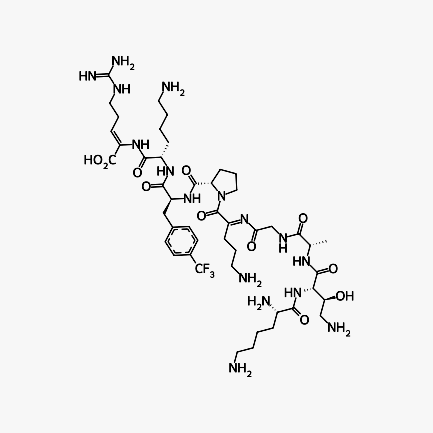 C[C@H](NC(=O)[C@@H](NC(=O)[C@@H](N)CCCCN)[C@@H](O)CN)C(=O)NCC(=O)/N=C(\CCCN)C(=O)N1CCC[C@H]1C(=O)N[C@@H](Cc1ccc(C(F)(F)F)cc1)C(=O)N[C@@H](CCCCN)C(=O)N/C(=C\CCNC(=N)N)C(=O)O